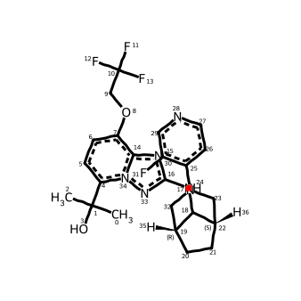 CC(C)(O)c1ccc(OCC(F)(F)F)c2nc(NC3[C@@H]4CC[C@H]3CN(c3ccncc3F)C4)nn12